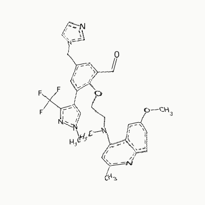 COc1ccc2nc(C)cc(N(C)CCOc3c(C=O)cc(Cn4ccnc4)cc3-c3cn(C)nc3C(F)(F)F)c2c1